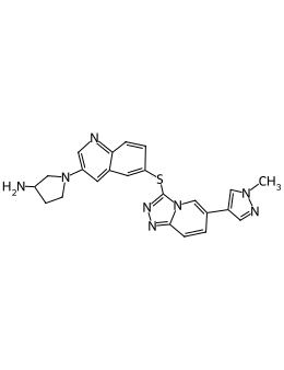 Cn1cc(-c2ccc3nnc(Sc4ccc5ncc(N6CCC(N)C6)cc5c4)n3c2)cn1